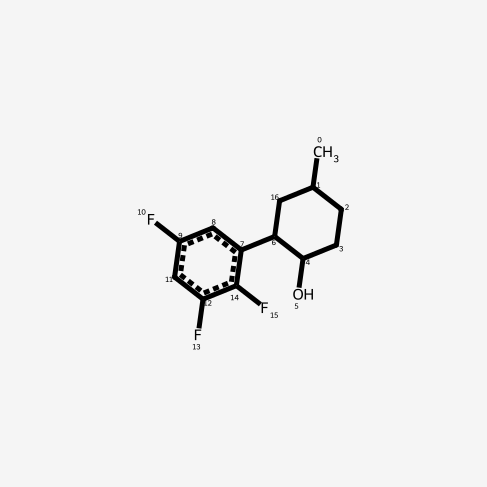 CC1CCC(O)C(c2cc(F)cc(F)c2F)C1